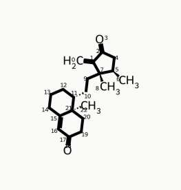 C=C1C(=O)C[C@@H](C)[C@]1(C)CC[C@H]1CCCC2=CC(=O)CC[C@@]21C